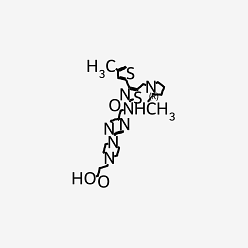 CC[C@@H]1CCCN1Cc1sc(NC(=O)c2cnc(N3CCN(CCC(=O)O)CC3)cn2)nc1-c1cc(C)cs1